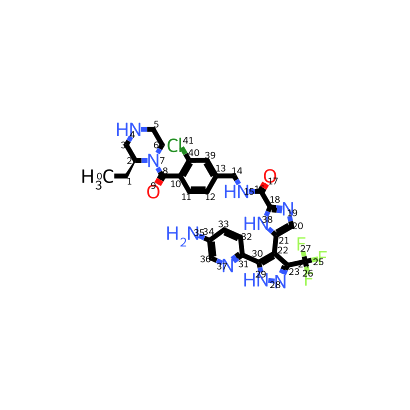 CC[C@H]1CNCCN1C(=O)c1ccc(CNC(=O)c2ncc(-c3c(C(F)(F)F)n[nH]c3-c3ccc(N)cn3)[nH]2)cc1Cl